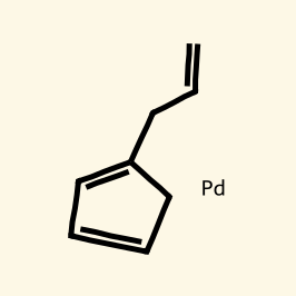 C=CCC1=CC=CC1.[Pd]